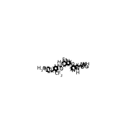 CC[C@H]1CN(C(=O)Nc2ccc(CN3CCN(C)CC3)c(C(F)(F)F)c2)Cc2cc(Oc3ccnc4[nH]c(-c5n[nH]c(=O)o5)cc34)cnc21